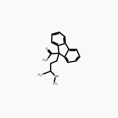 CNC(C)CCC1(C(N)=O)c2ccccc2-c2ccccc21